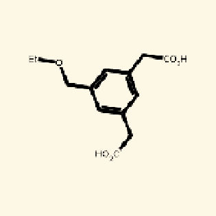 CCOCc1cc(CC(=O)O)cc(CC(=O)O)c1